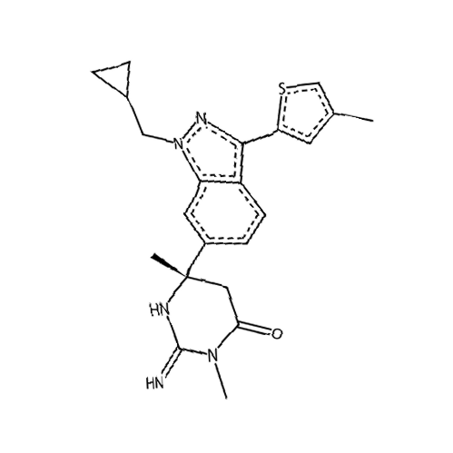 Cc1csc(-c2nn(CC3CC3)c3cc([C@]4(C)CC(=O)N(C)C(=N)N4)ccc23)c1